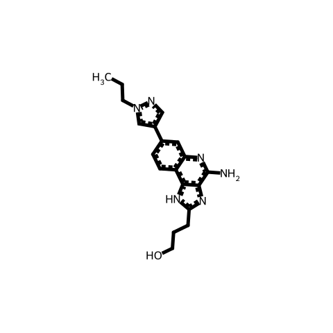 CCCn1cc(-c2ccc3c(c2)nc(N)c2nc(CCCO)[nH]c23)cn1